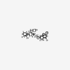 Cc1cccc(N2CCN(CCCOc3ccc4c(C)cc(=O)oc4c3)CC2)c1C.Cl